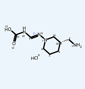 Cl.NC[C@@H]1CCCN(/N=C/NC(=O)O)C1